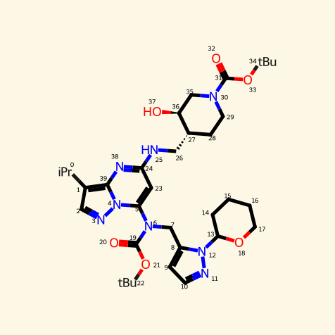 CC(C)c1cnn2c(N(Cc3ccnn3C3CCCCO3)C(=O)OC(C)(C)C)cc(NC[C@H]3CCN(C(=O)OC(C)(C)C)C[C@@H]3O)nc12